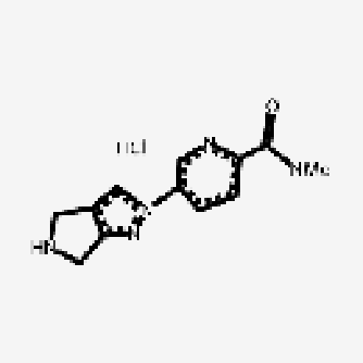 CNC(=O)c1ccc(-n2cc3c(n2)CNC3)cn1.Cl